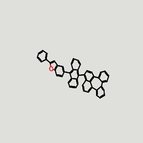 c1ccc(-c2cc3cc(-c4c5ccccc5c(-c5ccc6c7c(cccc57)-c5ccccc5-c5ccccc5-6)c5ccccc45)ccc3o2)cc1